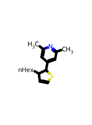 CCCCCCC1C=CSC1c1cc(C)nc(C)c1